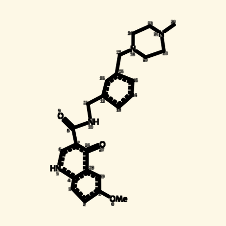 COc1ccc2[nH]cc(C(=O)NCc3cccc(CN4CCN(C)CC4)c3)c(=O)c2c1